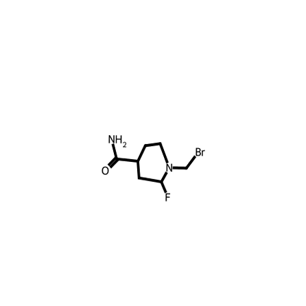 NC(=O)C1CCN(CBr)C(F)C1